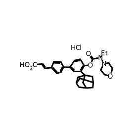 CCN(C(=O)Oc1ccc(-c2ccc(C=CC(=O)O)cc2)cc1C12CC3CC(CC(C3)C1)C2)N1CCOCC1.Cl